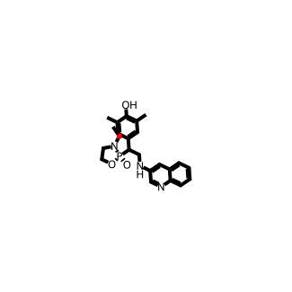 CCN1CCOP1(=O)C(CNc1cnc2ccccc2c1)c1cc(C)c(O)c(C)c1